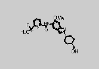 COc1cc2nn([C@H]3CC[C@H](CO)CC3)cc2cc1NC(=O)c1cccc(C(C)(F)F)n1